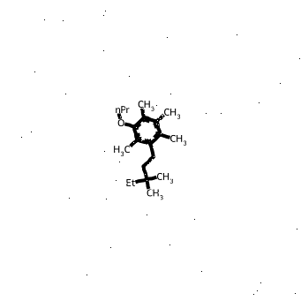 CCCOc1c(C)c(C)c(C)c(CCC(C)(C)CC)c1C